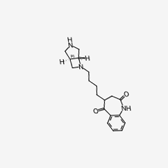 O=C1CC(CCCCN2C[C@H]3CNC[C@@H]32)C(=O)c2ccccc2N1